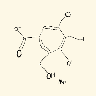 O=C([O-])c1cc(Cl)c(I)c(Cl)c1CO.[Na+]